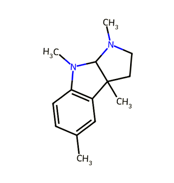 Cc1ccc2c(c1)C1(C)CCN(C)C1N2C